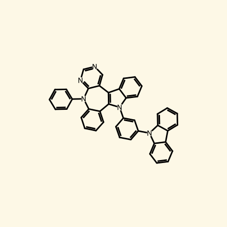 c1ccc(N2c3ccccc3-c3c(c4ccccc4n3-c3cccc(-n4c5ccccc5c5ccccc54)c3)-c3cncnc32)cc1